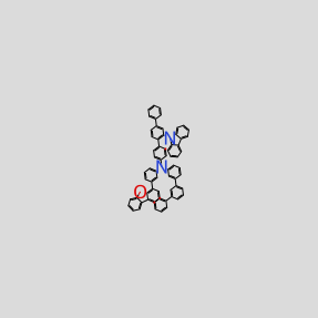 c1ccc(-c2cccc(-c3cccc(N(c4ccc(-c5ccc(-c6ccccc6)cc5-n5c6ccccc6c6ccccc65)cc4)c4cccc(-c5cccc6c5oc5ccccc56)c4)c3)c2)cc1